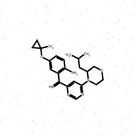 CC(C)CC1COCCN1c1cc(C(=N)c2cc(OC3(C)CC3)ccc2N)ncn1